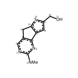 CNc1ncc2c(n1)-c1cc(CO)sc1C2